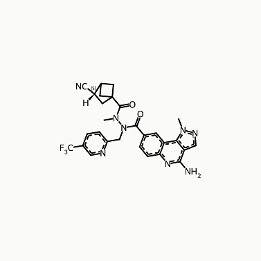 CN(C(=O)C12CC(C1)[C@@H](C#N)C2)N(Cc1ccc(C(F)(F)F)cn1)C(=O)c1ccc2nc(N)c3cnn(C)c3c2c1